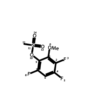 COc1c(F)c(F)cc(F)c1OS(C)(=O)=O